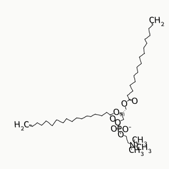 C=CCCCCCCCCCCCCCCCC(=O)OC[C@H](COP(=O)([O-])OCC[N+](C)(C)C)OC(=O)CCCCCCCCCCCCCCCC=C